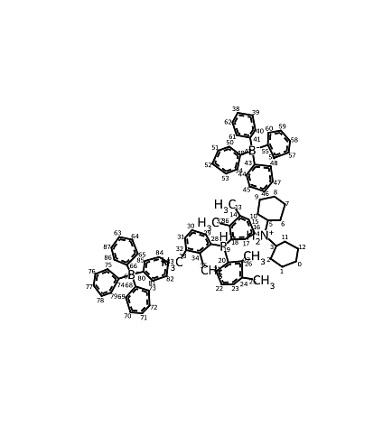 C1CCC([NH2+]C2CCCCC2)CC1.Cc1cccc([PH+](c2cccc(C)c2C)c2cccc(C)c2C)c1C.c1ccc([B-](c2ccccc2)(c2ccccc2)c2ccccc2)cc1.c1ccc([B-](c2ccccc2)(c2ccccc2)c2ccccc2)cc1